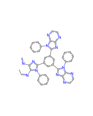 C=Nc1nc(-c2cc(-c3nc4nccnc4n3-c3ccccc3)cc(-c3nc4nccnc4n3-c3ccccc3)c2)n(-c2ccccc2)c1/N=C\C